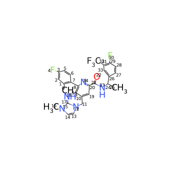 Cc1cc(F)ccc1-c1cc(Cn2ccn(C)c2=N)cc(C(=O)NC(C)c2ccc(F)c(C(F)(F)F)c2)n1